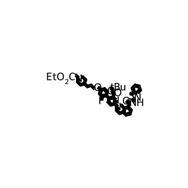 CCOC(=O)CN1CCC(CCCOc2ccc(-c3ccc(N4CCc5cccc(C(=O)Nc6nc7ccccc7s6)c5C4)nc3C(=O)OC(C)(C)C)c(F)c2)CC1